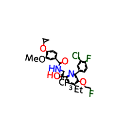 CCc1cc([C@@](O)(CNC(=O)c2ccc(OC3CC3)c(OC)c2)C(F)(F)F)nc(-c2ccc(F)c(Cl)c2)c1OCCF